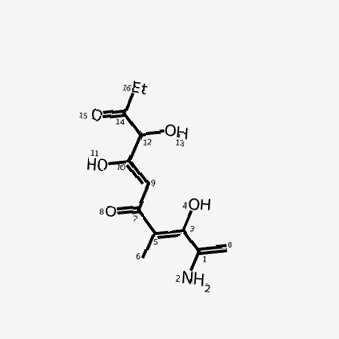 C=C(N)/C(O)=C(\C)C(=O)/C=C(\O)C(O)C(=O)CC